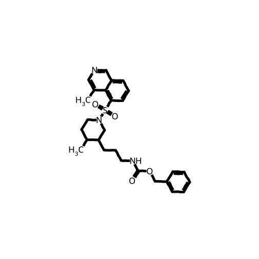 Cc1cncc2cccc(S(=O)(=O)N3CCC(C)C(CCCNC(=O)OCc4ccccc4)C3)c12